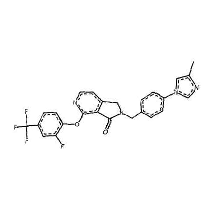 Cc1cn(-c2ccc(CN3Cc4ccnc(Oc5ccc(C(F)(F)F)cc5F)c4C3=O)cc2)cn1